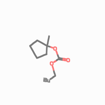 CCC(C)COC(=O)OC1(C)CCCC1